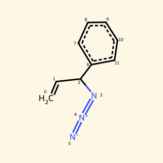 C=CC(N=[N+]=[N-])c1ccccc1